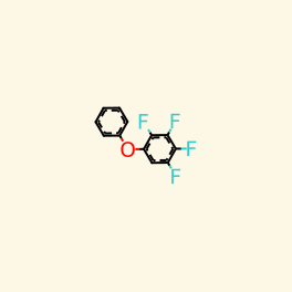 Fc1cc(Oc2ccccc2)c(F)c(F)c1F